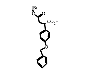 CC(C)(C)OC(=O)C[C@H](C(=O)O)c1ccc(OCc2ccccc2)cc1